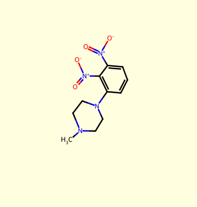 CN1CCN(c2cccc([N+](=O)[O-])c2[N+](=O)[O-])CC1